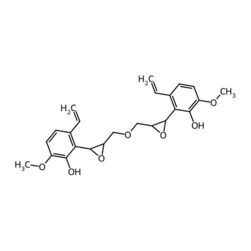 C=Cc1ccc(OC)c(O)c1C1OC1COCC1OC1c1c(C=C)ccc(OC)c1O